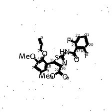 C=CCOc1c(OC)cccc1-c1sc(NC(=O)c2c(F)cccc2F)nc1C(=O)OC